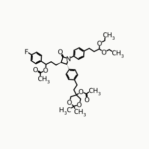 CCOC(CCc1ccc(N2C(=O)[C@H](CCC(OC(C)=O)c3ccc(F)cc3)[C@H]2c2ccc(CCC3(OC(C)=O)COC(C)(C)OC3)cc2)cc1)OCC